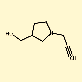 C#CCN1CCC(CO)C1